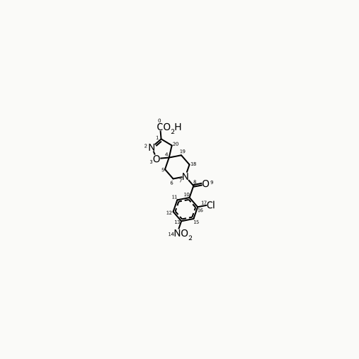 O=C(O)C1=NOC2(CCN(C(=O)c3ccc([N+](=O)[O-])cc3Cl)CC2)C1